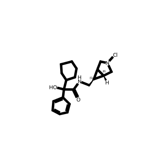 O=C(NC[C@H]1C2CN(Cl)C[C@@H]21)C(O)(c1ccccc1)C1CCCCC1